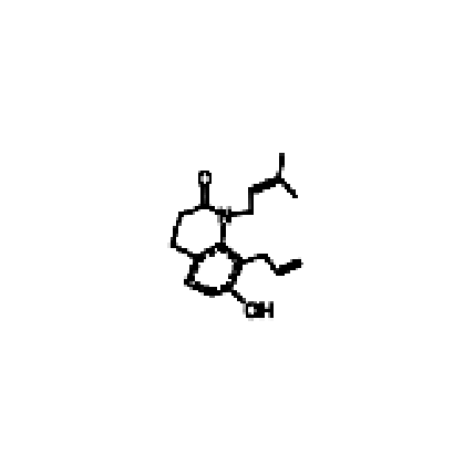 C=CCc1c(O)ccc2c1N(CC=C(C)C)C(=O)CC2